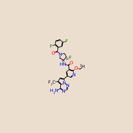 [2H]COc1ncc(-c2cc(C(F)(F)F)c3c(N)ncnn23)cc1C(=O)N[C@@H]1CN(C(=O)c2cc(F)ccc2F)C[C@@H]1F